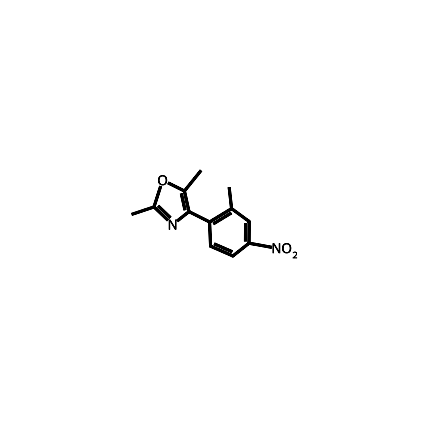 Cc1nc(-c2ccc([N+](=O)[O-])cc2C)c(C)o1